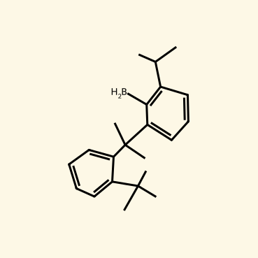 Bc1c(C(C)C)cccc1C(C)(C)c1ccccc1C(C)(C)C